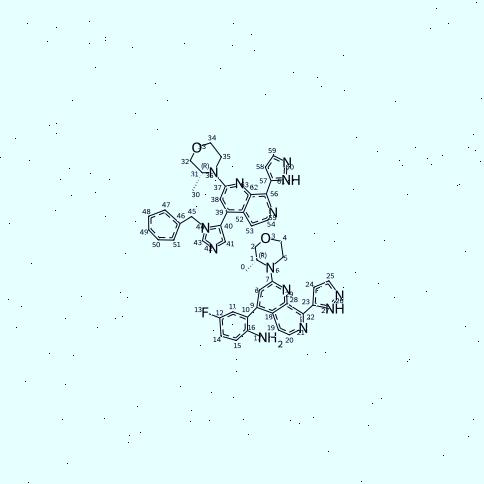 C[C@@H]1COCCN1c1cc(-c2cc(F)ccc2N)c2ccnc(-c3ccn[nH]3)c2n1.C[C@@H]1COCCN1c1cc(-c2cncn2Cc2ccccc2)c2ccnc(-c3ccn[nH]3)c2n1